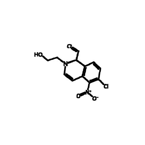 O=CC1c2ccc(Cl)c([N+](=O)[O-])c2C=CN1CCO